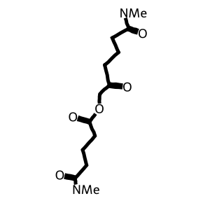 CNC(=O)CCCC(=O)COC(=O)CCCC(=O)NC